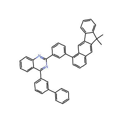 CC1(C)c2ccccc2-c2cc3c(-c4cccc(-c5nc(-c6cccc(-c7ccccc7)c6)c6ccccc6n5)c4)cccc3cc21